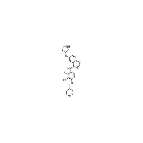 Fc1c(Nc2ncnc3ccc(O[C@H]4CCNC4)nc23)ccc(OCC2CCOCC2)c1Cl